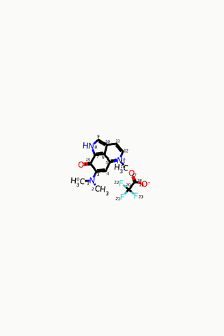 CN(C)C1=Cc2c3c([nH]cc3cc[n+]2C)C1=O.O=C([O-])C(F)(F)F